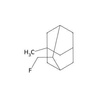 CC12CC3CC(C1)C(CF)C(C3)C2